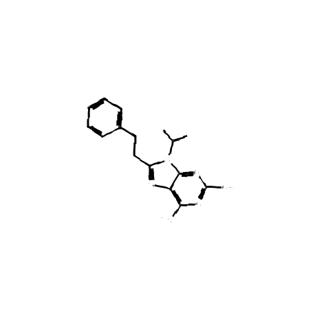 CC(C)n1c(CCc2ccccc2)nc2c(N)nc(N)nc21